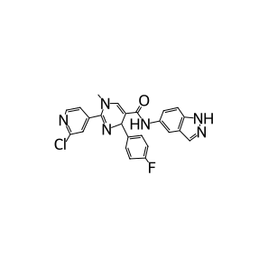 CN1C=C(C(=O)Nc2ccc3[nH]ncc3c2)C(c2ccc(F)cc2)N=C1c1ccnc(Cl)c1